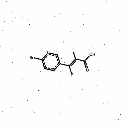 O=C(O)/C(F)=C(\F)c1ccc(Br)nc1